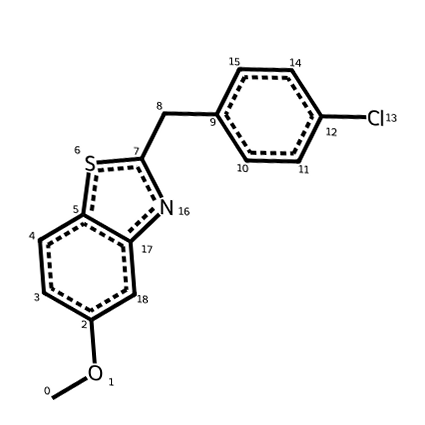 COc1ccc2sc(Cc3ccc(Cl)cc3)nc2c1